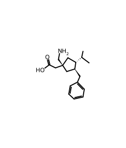 CC(C)[C@H]1C[C@@](CN)(CC(=O)O)C[C@@H]1Cc1ccccc1